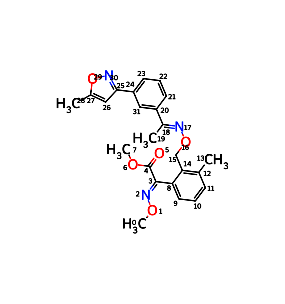 CO/N=C(/C(=O)OC)c1cccc(C)c1CO/N=C(\C)c1cccc(-c2cc(C)on2)c1